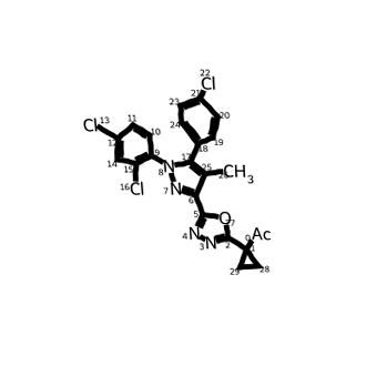 CC(=O)C1(c2nnc(-c3nn(-c4ccc(Cl)cc4Cl)c(-c4ccc(Cl)cc4)c3C)o2)CC1